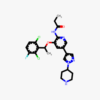 CCC(=O)Nc1ncc(-c2cnn(C3CCNCC3)c2)cc1OC(C)c1c(Cl)ccc(F)c1Cl